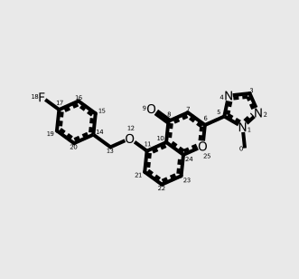 Cn1ncnc1-c1cc(=O)c2c(OCc3ccc(F)cc3)cccc2o1